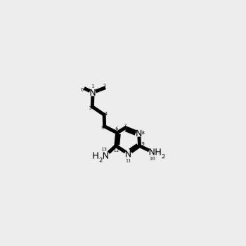 CN(C)CCCc1cnc(N)nc1N